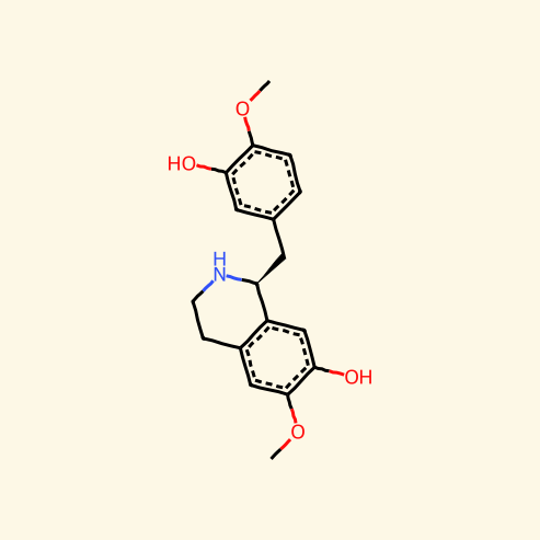 COc1ccc(C[C@@H]2NCCc3cc(OC)c(O)cc32)cc1O